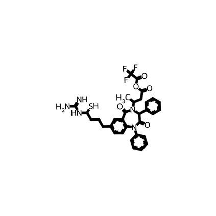 CC(CC(=O)OC(=O)C(F)(F)F)N1C(=O)c2cc(CCCC(S)NC(=N)N)ccc2N(c2ccccc2)C(=O)C1c1ccccc1